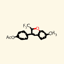 CC(=O)Oc1ccc(C2=Cc3ccc(C)cc3OC2C(F)(F)F)cc1